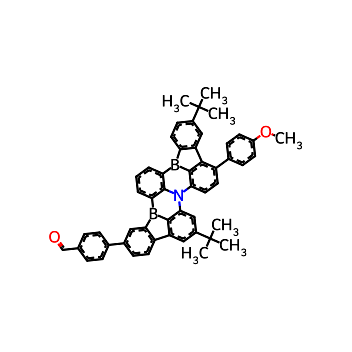 COc1ccc(-c2ccc3c4c2-c2cc(C(C)(C)C)ccc2B4c2cccc4c2N3c2cc(C(C)(C)C)cc3c2B4c2cc(-c4ccc(C=O)cc4)ccc2-3)cc1